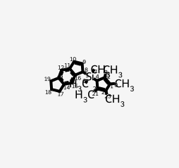 CC1=C(C)C([Si](C)(C)C2C=Cc3cc4c(cc32)CCC4)C(C)=C1C